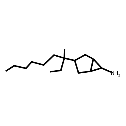 CCCCCCC(C)(CC)C1CC2C(N)C2C1